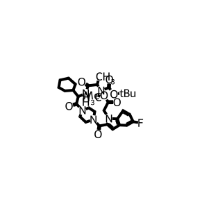 COC(=O)Cn1c(C(=O)N2CCN(C(=O)C(NC(=O)C(C)N(C)C(=O)OC(C)(C)C)C3CCCCC3)CC2)cc2cc(F)ccc21